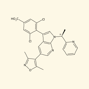 Cc1noc(C)c1-c1cnc2c(c1)c(-c1c(Cl)cc(C(=O)O)cc1Cl)cn2[C@@H](C)c1ccccn1